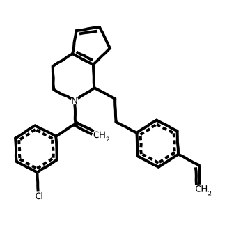 C=Cc1ccc(CCC2C3=C(C=CC3)CCN2C(=C)c2cccc(Cl)c2)cc1